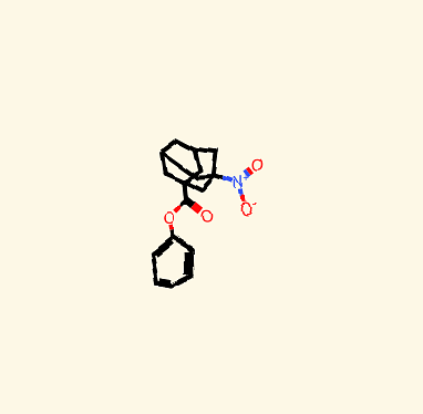 O=C(Oc1ccccc1)C12CC3CC(C1)CC([N+](=O)[O-])(C3)C2